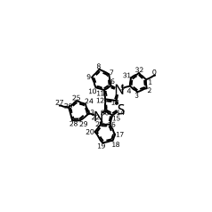 Cc1ccc(-n2c3ccccc3c3c2sc2c4ccccc4n(-c4ccc(C)cc4)c23)cc1